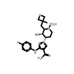 CC1(CC2[C@H](C#N)[C@@H](n3cc(C(N)=O)c(Nc4ccc(F)cc4)n3)CCN2C(=O)O)COC1